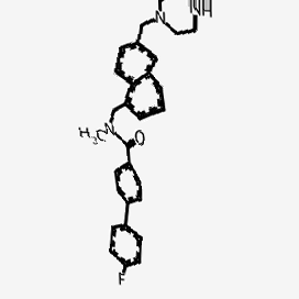 CN(Cc1cccc2cc(CN3CCNCC3)ccc12)C(=O)c1ccc(-c2ccc(F)cc2)cc1